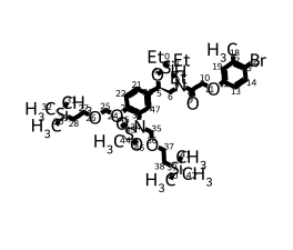 CC[Si](CC)(CC)O[C@@H](CNC(=O)COc1ccc(Br)c(C)c1)c1ccc(OCOCC[Si](C)(C)C)c(N(COCC[Si](C)(C)C)S(C)(=O)=O)c1